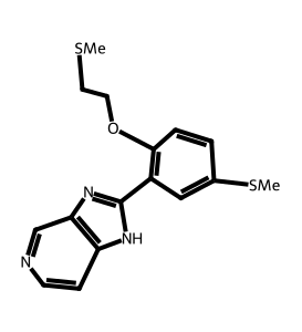 CSCCOc1ccc(SC)cc1-c1nc2cnccc2[nH]1